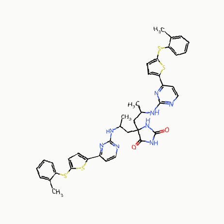 Cc1ccccc1Sc1ccc(-c2ccnc(NC(C)CC3(CC(C)Nc4nccc(-c5ccc(Sc6ccccc6C)s5)n4)NC(=O)NC3=O)n2)s1